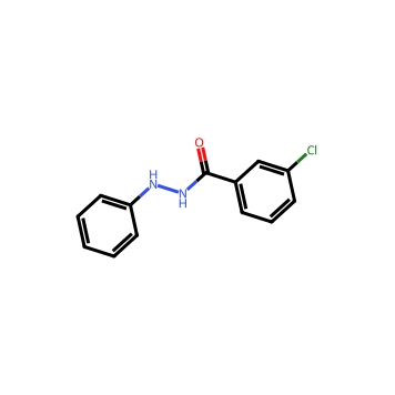 O=C(NNc1ccccc1)c1cccc(Cl)c1